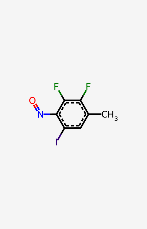 Cc1cc(I)c(N=O)c(F)c1F